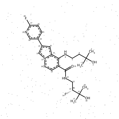 CC(C)(O)CCNc1c(C(=O)NC[C@@H](F)C(C)(C)O)cnn2cc(-c3ccc(F)nc3)cc12